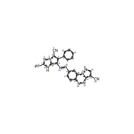 CC(C)c1nn2c(C#N)c(-c3ccccc3)c(/N=N/c3ccc4nnc5c(C#N)cnn5c4c3)c2[nH]1